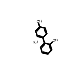 Oc1ccc(-c2ccccc2O)cc1.[KH]